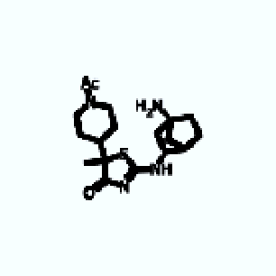 CC(=O)N1CCC(C2(C)SC(N[C@H]3C[C@]4(N)CCC3C4)=NC2=O)CC1